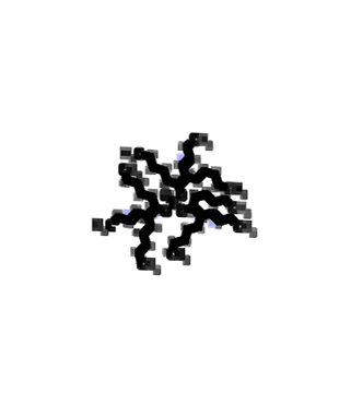 CC/C=C/C(CCCCC)=C(\CCCCC)OP(=O)(O/C(CCCCC)=C(/C=C/CC)CCCCC)O/C(CCCCC)=C(/C=C/CC)CCCCC